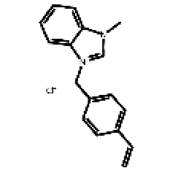 C=Cc1ccc(C[n+]2cn(C)c3ccccc32)cc1.[Cl-]